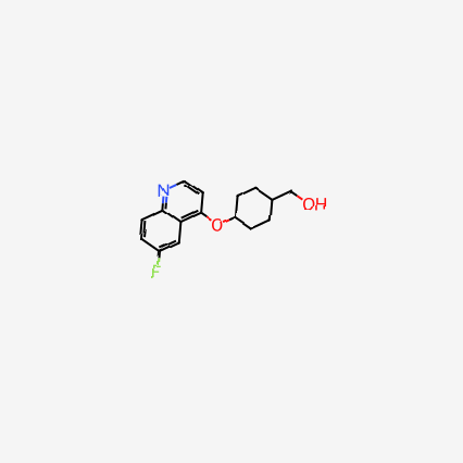 OCC1CCC(Oc2ccnc3ccc(F)cc23)CC1